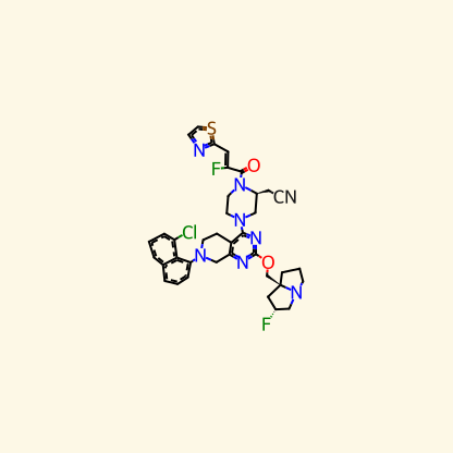 N#CC[C@H]1CN(c2nc(OC[C@@]34CCCN3C[C@H](F)C4)nc3c2CCN(c2cccc4cccc(Cl)c24)C3)CCN1C(=O)/C(F)=C/c1nccs1